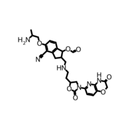 CC(N)COc1ccc2c(c1C#N)CC(CNCCC1CN(c3ccc4c(n3)NC(=O)CO4)C(=O)O1)C2OC=O